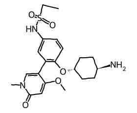 CCS(=O)(=O)Nc1ccc(O[C@H]2CC[C@H](N)CC2)c(-c2cn(C)c(=O)cc2OC)c1